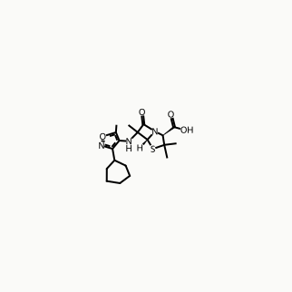 Cc1onc(C2CCCCC2)c1NC1(C)C(=O)N2[C@@H](C(=O)O)C(C)(C)S[C@@H]21